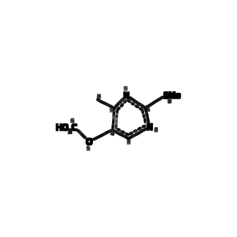 CSc1ncc(OC(=O)O)c(C)n1